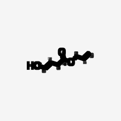 C=CCOC(=O)CC=CO